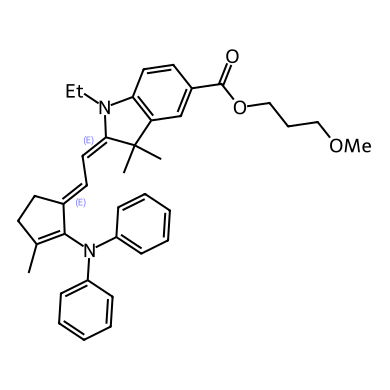 CCN1/C(=C/C=C2\CCC(C)=C2N(c2ccccc2)c2ccccc2)C(C)(C)c2cc(C(=O)OCCCOC)ccc21